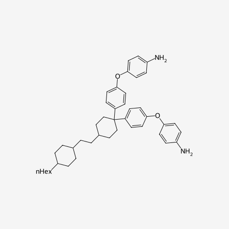 CCCCCCC1CCC(CCC2CCC(c3ccc(Oc4ccc(N)cc4)cc3)(c3ccc(Oc4ccc(N)cc4)cc3)CC2)CC1